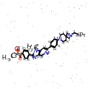 CC(C)CN1CC2(CCN(c3ccc(-c4cc5c(cn4)nc(-c4ccc(S(C)(=O)=O)cc4)n5C)cc3)CC2)C1